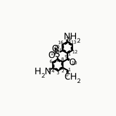 C=Cc1cc(N)cc2c1C(=O)c1ccc(N)cc1S2(=O)=O